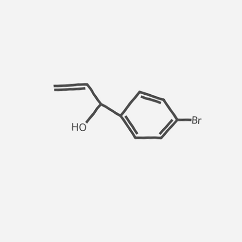 C=CC(O)c1ccc(Br)cc1